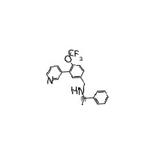 C[C@@H](NCc1ccc(OC(F)(F)F)c(-c2cccnc2)c1)c1ccccc1